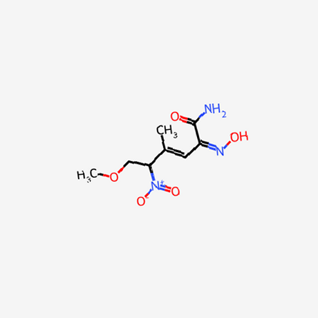 COCC(/C(C)=C/C(=N/O)C(N)=O)[N+](=O)[O-]